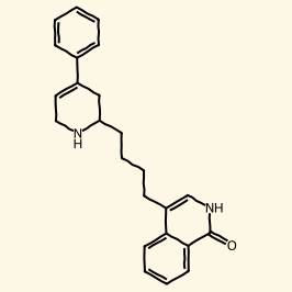 O=c1[nH]cc(CCCCC2CC(c3ccccc3)=CCN2)c2ccccc12